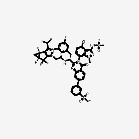 CC(C)S(=O)(=O)c1cccc(-c2ccc3c(=O)n(-c4ccc(Cl)c5c(NS(C)(=O)=O)nn(C)c45)c([C@H](Cc4cc(F)cc(F)c4)NC(=O)Cn4nc(C(F)F)c5c4C(F)(F)[C@@H]4C[C@H]54)nc3c2)c1